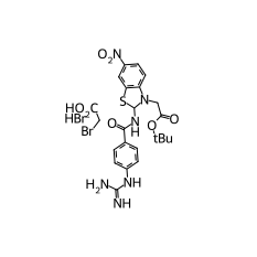 Br.CC(C)(C)OC(=O)CN1c2ccc([N+](=O)[O-])cc2SC1NC(=O)c1ccc(NC(=N)N)cc1.O=C(O)CBr